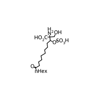 CCCCCCC(=O)CCCCCCCCC(OS(=O)(=O)O)C(N)(CO)C(=O)O